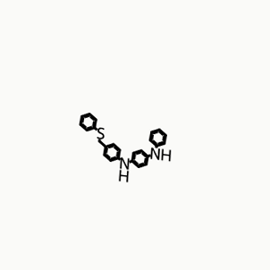 c1ccc(Nc2ccc(Nc3ccc(CSc4ccccc4)cc3)cc2)cc1